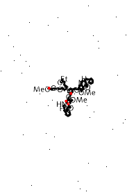 CCC(=O)CCCN(CCOCCOCCOC)c1cc(COc2cc3c(cc2OC)C(=O)N2c4ccccc4C[C@H]2C=N3)cc(COc2cc3c(cc2OC)C(=O)N2c4ccccc4C[C@H]2CN3)c1